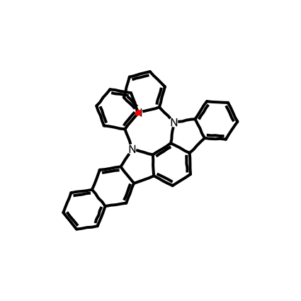 c1ccc(-n2c3cc4ccccc4cc3c3ccc4c5ccccc5n(-c5ccccn5)c4c32)cc1